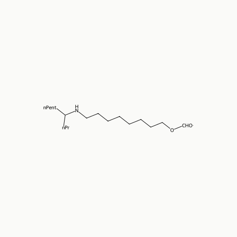 CCCCCC(CCC)NCCCCCCCCO[C]=O